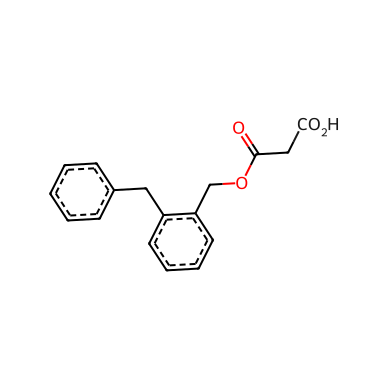 O=C(O)CC(=O)OCc1ccccc1Cc1ccccc1